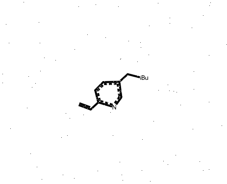 C=Cc1ccc(CC(C)CC)cn1